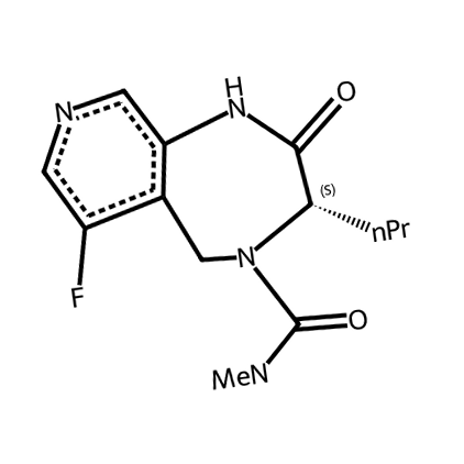 CCC[C@H]1C(=O)Nc2cncc(F)c2CN1C(=O)NC